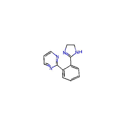 c1cnc(-c2ccccc2C2=NCCN2)nc1